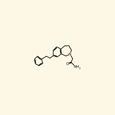 NC(=O)CN1CCCc2ccc([CH]Cc3ccccc3)cc2C1